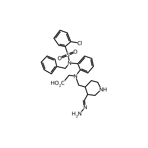 NN=CC1CNCCC1CN(CC(=O)O)c1ccccc1N(Cc1ccccc1)S(=O)(=O)c1ccccc1Cl